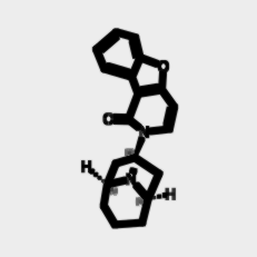 CN1[C@@H]2CCC[C@H]1C[C@@H](n1ccc3oc4ccccc4c3c1=O)C2